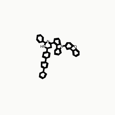 C1=CCC(c2ccc(-c3ccc(C4CC(c5cccc6c5c5ccccc5n6-c5ccc6oc7ccccc7c6c5)=NC(c5ccccc5)N4)cc3)cc2)C=C1